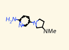 CNC1CCN(c2ccc(N)nc2)C1